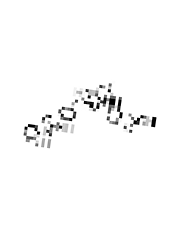 Cc1ccccc1NC(=O)Nc1ccc(CC(=O)N[C@@H](CC(C)C)C(=O)Nc2cccc(CC(=O)O)c2)cc1